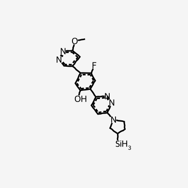 COc1cc(-c2cc(O)c(-c3ccc(N4CCC([SiH3])C4)nn3)cc2F)cnn1